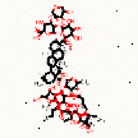 CC[C@H](C)[C@H](C[C@H](O)CC(=O)OC1C(C)OC(OC(=O)[C@]23CCC(C)(C)CC2C2=CCC4[C@@]5(C)CC[C@H](OC6OC(C(=O)O)C(O)C(OC7(O)COCC(O)C7O)C6OC6OC(CO)C(O)C(O)C6O)[C@@](C)(C=O)C5CC[C@@]4(C)[C@]2(C)C[C@H]3O)C(OC2OC(C)C(OC3OCC(O)C(OC4OCC(O)(CO)C4O)C3O)C(O)C2O)C1O)OC(=O)C[C@@H](O)C[C@H](OC1OC(CO)C(O)C1O)[C@@H](C)CC